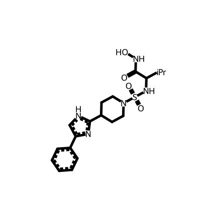 CC(C)C(NS(=O)(=O)N1CCC(c2nc(-c3ccccc3)c[nH]2)CC1)C(=O)NO